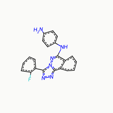 Nc1ccc(Nc2nn3c(-c4ccccc4F)nnc3c3ccccc23)cc1